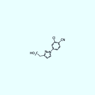 N#Cc1ccc(-n2ccc(CC(=O)O)n2)cc1Cl